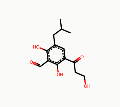 CC(C)Cc1cc(C(=O)CCO)c(O)c(C=O)c1O